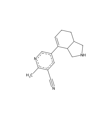 Cc1ncc(C2=CCCC3CNCC23)cc1C#N